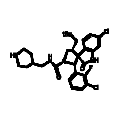 CC(C)(C)C[C@@H]1CN(C(=O)NCC2CCNCC2)[C@H](c2cccc(Cl)c2F)[C@]12C(=O)Nc1cc(Cl)ccc12